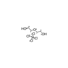 Cl[Si](Cl)(Cl)Cl.OCCOCCO